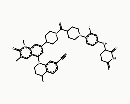 Cc1cc2c(N3CCN(C)c4ccc(C#N)cc43)cc(C3CCN(C(=O)C4CCN(c5ccc(NC6CCC(=O)NC6=O)cc5F)CC4)CC3)cc2n(C)c1=O